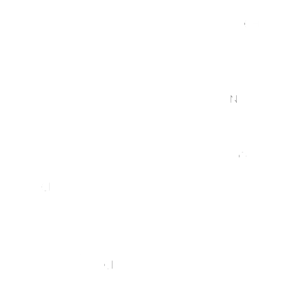 CCCN1CCOC(c2ccc(CCc3c(Cl)cccc3Cl)cc2)C1